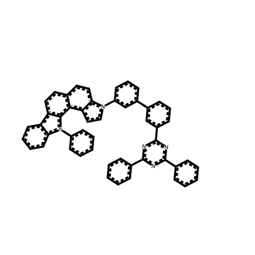 c1ccc(-c2nc(-c3ccccc3)nc(-c3cccc(-c4cccc(-n5ccc6c7c(ccc8c9ccccc9n(-c9ccccc9)c87)ccc65)c4)c3)n2)cc1